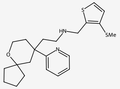 CSc1ccsc1CNCCC1(c2ccccn2)CCOC2(CCCC2)C1